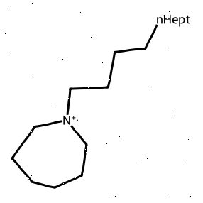 CCCCCCCCCCC[N+]1CCCCCC1